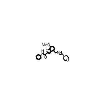 COc1ccc(CNCCN2CCOCC2)c2cc(C(=O)Nc3ccccc3)oc12